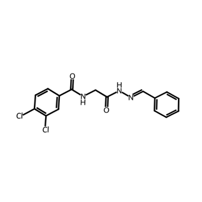 O=C(CNC(=O)c1ccc(Cl)c(Cl)c1)NN=Cc1ccccc1